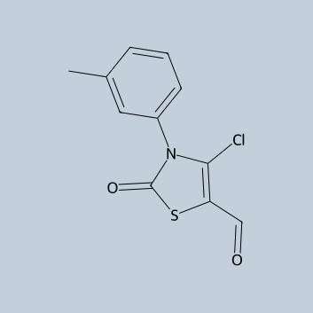 Cc1cccc(-n2c(Cl)c(C=O)sc2=O)c1